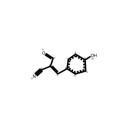 N#CC(C=O)=Cc1ccc(O)cc1